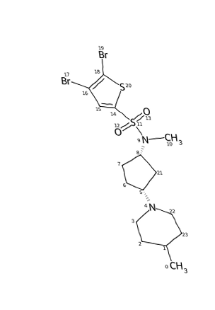 CC1CCN([C@@H]2CC[C@H](N(C)S(=O)(=O)c3cc(Br)c(Br)s3)C2)CC1